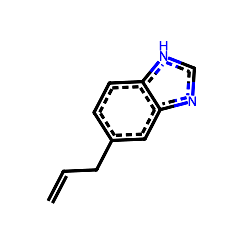 C=CCc1ccc2[nH]cnc2c1